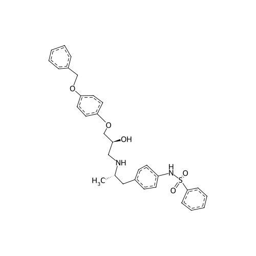 C[C@@H](Cc1ccc(NS(=O)(=O)c2ccccc2)cc1)NC[C@H](O)COc1ccc(OCc2ccccc2)cc1